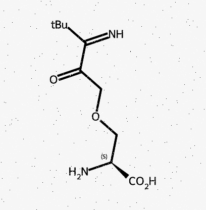 CC(C)(C)C(=N)C(=O)COC[C@H](N)C(=O)O